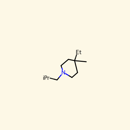 CCC1(C)CCN(CC(C)C)CC1